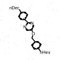 CCCCCCCCCCc1ccc(-c2ncc(OCc3ccc(CCCCCC)cc3)cn2)cc1